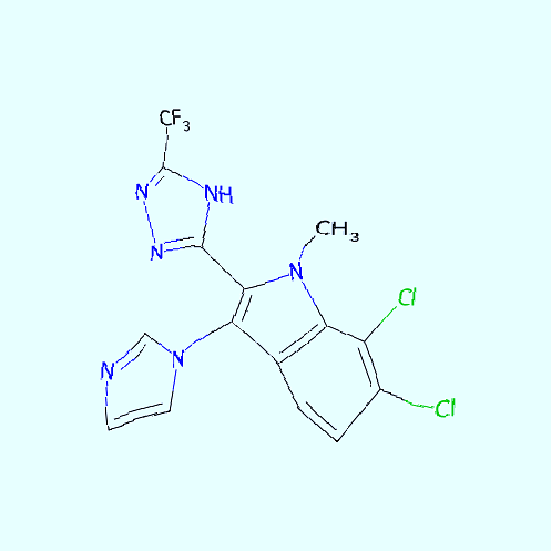 Cn1c(-c2nnc(C(F)(F)F)[nH]2)c(-n2ccnc2)c2ccc(Cl)c(Cl)c21